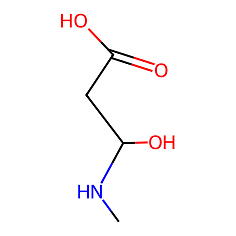 CNC(O)CC(=O)O